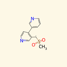 CS(=O)(=O)[CH]c1cnccc1-c1cccnc1